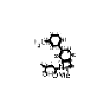 COC(CC(C)O)n1ncc2ncc(-c3cccc(C(F)(F)F)c3)cc21